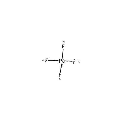 [F][Po]([F])([F])[F]